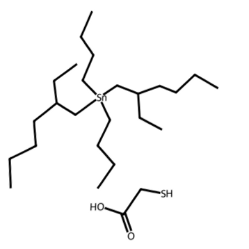 CCCCC(CC)[CH2][Sn]([CH2]CCC)([CH2]CCC)[CH2]C(CC)CCCC.O=C(O)CS